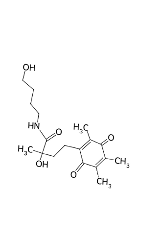 CC1=C(C)C(=O)C(CCC(C)(O)C(=O)NCCCCO)=C(C)C1=O